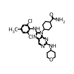 Cc1cc(Cl)c(Nc2nc3cnc(NC4CCOCC4)nc3n2C2CCC(C(N)=O)CC2)c(Cl)c1